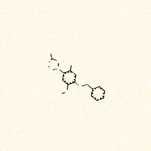 COc1cc(N2OOC(C)O2)c(I)cc1OCc1ccccc1